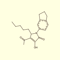 CCCCCC1C(C(C)=O)=C(O)C(=O)N1c1ccc2c(c1)CCC2